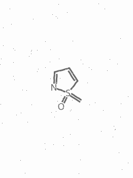 C=S1(=O)C=CC=N1